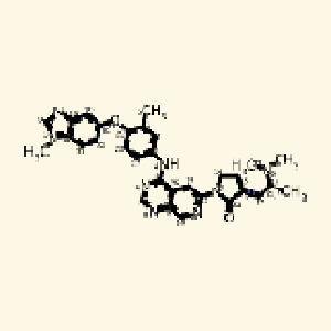 Cc1cc(Nc2ncnc3cnc(N4CC/C(=C\[C@H](C)N(C)C)C4=O)cc23)ccc1Oc1ccc2c(c1)ncn2C